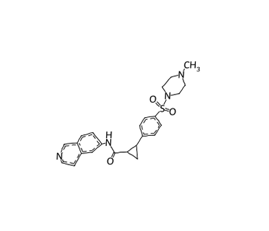 CN1CCN(S(=O)(=O)c2ccc(C3CC3C(=O)Nc3ccc4cnccc4c3)cc2)CC1